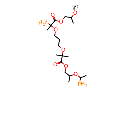 CC(C)OC(C)COC(=O)C(C)(P)OCCCOC(C)(C)C(=O)OCC(C)OC(C)P